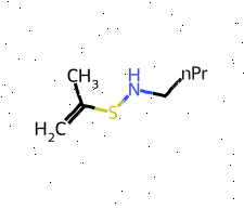 C=C(C)SNCCCC